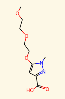 COCCOCCOc1cc(C(=O)O)nn1C